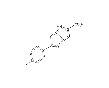 Cc1ccc(-c2cc3[nH]c(C(=O)O)cc3o2)cc1